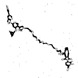 N#Cc1cnc2c(cnn2-c2cc(NC3CC3)c(-c3cn(CCOCCOCCOCCOCCOCCNc4cccc5c4C(=O)N(C4CCC(=O)NC4=O)C5=O)nn3)cn2)c1